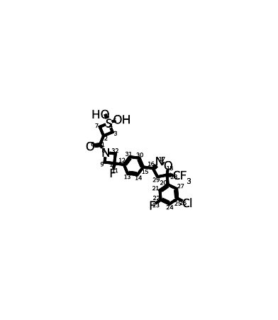 O=C(C1CS(O)(O)C1)N1CC(F)(c2ccc(C3=NOC(c4cc(F)cc(Cl)c4)(C(F)(F)F)C3)cc2)C1